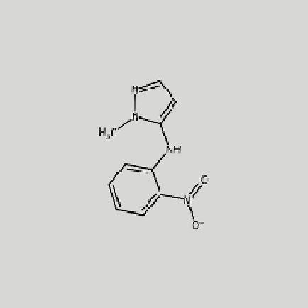 Cn1nccc1Nc1ccccc1[N+](=O)[O-]